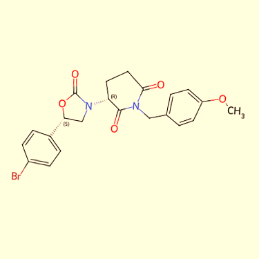 COc1ccc(CN2C(=O)CC[C@@H](N3C[C@H](c4ccc(Br)cc4)OC3=O)C2=O)cc1